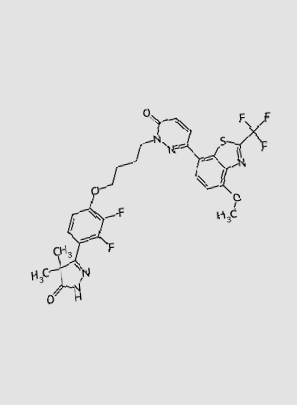 COc1ccc(-c2ccc(=O)n(CCCCOc3ccc(C4=NNC(=O)C4(C)C)c(F)c3F)n2)c2sc(C(F)(F)F)nc12